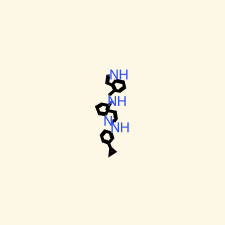 c1cc(Nc2ccc3c(NCc4cccc5[nH]ccc45)cccc3n2)cc(C2CC2)c1